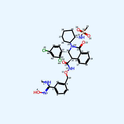 CN/C(=N\O)c1cccc(CONC(=O)[C@@H]2c3ccccc3C(=O)N([C@H]3CCCC[C@@H]3NS(C)(=O)=O)[C@H]2c2ccc(Cl)cc2Cl)c1